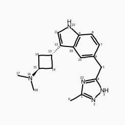 Cc1n[nH]c(Cc2ccc3[nH]cc([C@H]4C[C@H](N(C)C)C4)c3c2)n1